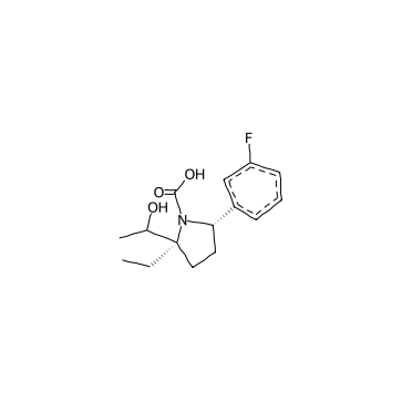 CC[C@@]1(C(C)O)CC[C@@H](c2cccc(F)c2)N1C(=O)O